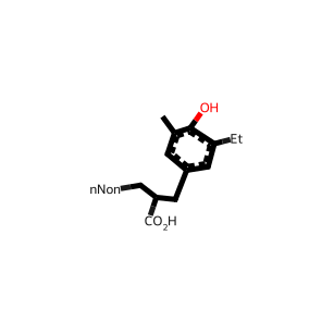 CCCCCCCCCCC(Cc1cc(C)c(O)c(CC)c1)C(=O)O